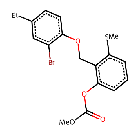 CCc1ccc(OCc2c(OC(=O)OC)cccc2SC)c(Br)c1